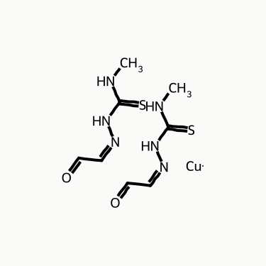 CNC(=S)N/N=C\C=O.CNC(=S)N/N=C\C=O.[Cu]